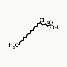 CCCCCCCC/C=C/CCCC(C)CCCC(=O)O